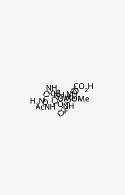 COc1cc(NC(=O)c2ccccc2F)ccc1N.COc1cc(NC(C)=O)ccc1N.NC(=O)c1ccc(N)c(C(F)(F)F)c1.O=C(O)c1ccco1